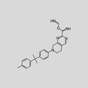 Cc1ccc(C(C)(C)c2ccc(N3CCc4cnc(C(=N)OC=N)nc4C3)cc2)cc1